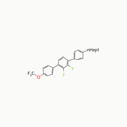 CCCCCCCc1ccc(-c2ccc(-c3ccc(OC(F)(F)F)cc3)c(F)c2F)cc1